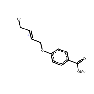 COC(=O)c1ccc(OC/C=C/CBr)cc1